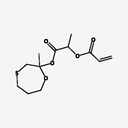 C=CC(=O)OC(C)C(=O)OC1(C)CSCCCO1